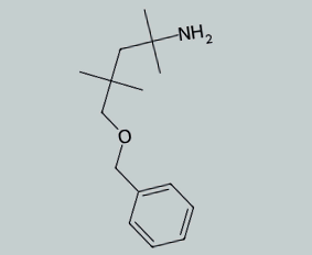 CC(C)(N)CC(C)(C)COCc1ccccc1